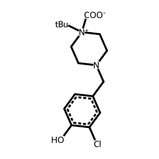 CC(C)(C)[N+]1(C(=O)[O-])CCN(Cc2ccc(O)c(Cl)c2)CC1